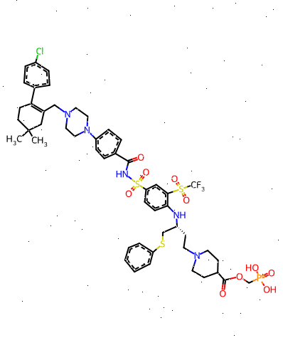 CC1(C)CCC(c2ccc(Cl)cc2)=C(CN2CCN(c3ccc(C(=O)NS(=O)(=O)c4ccc(N[C@H](CCN5CCC(C(=O)OCP(=O)(O)O)CC5)CSc5ccccc5)c(S(=O)(=O)C(F)(F)F)c4)cc3)CC2)C1